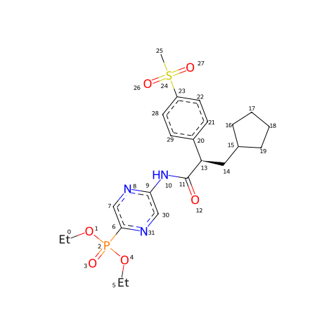 CCOP(=O)(OCC)c1cnc(NC(=O)[C@H](CC2CCCC2)c2ccc(S(C)(=O)=O)cc2)cn1